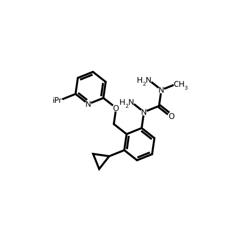 CC(C)c1cccc(OCc2c(C3CC3)cccc2N(N)C(=O)N(C)N)n1